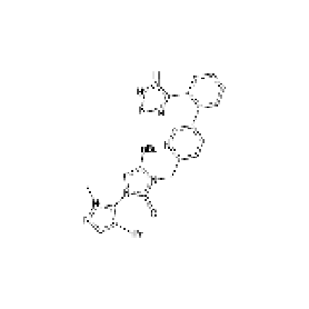 CCCCc1cn(-c2c(C(C)C)cnn2C)c(=O)n1Cc1ccc(-c2ccccc2-c2nnn[nH]2)cn1